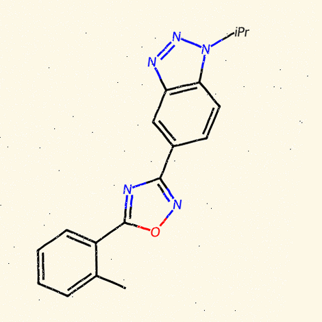 Cc1ccccc1-c1nc(-c2ccc3c(c2)nnn3C(C)C)no1